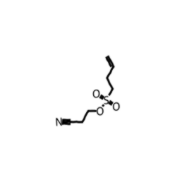 C=CCCS(=O)(=O)OCCC#N